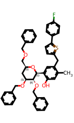 Cc1cc(O)c([C@@H]2O[C@H](COCc3ccccc3)C[C@H](OCc3ccccc3)[C@H]2OCc2ccccc2)cc1Cc1ccc(-c2ccc(F)cc2)s1